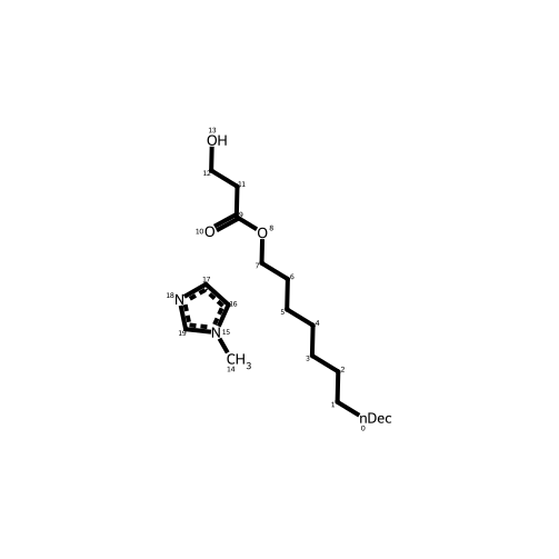 CCCCCCCCCCCCCCCCCOC(=O)CCO.Cn1ccnc1